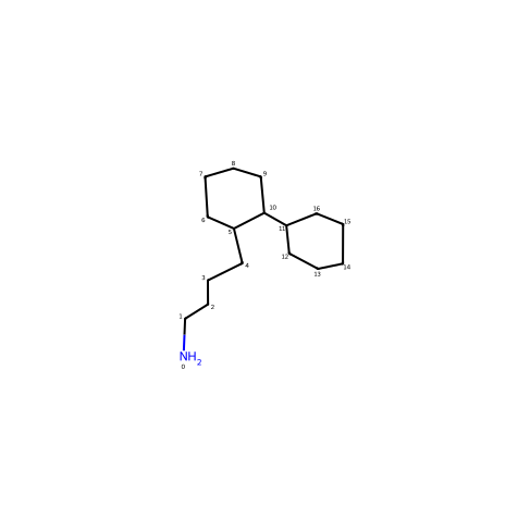 NCCCCC1CCCCC1C1CCCCC1